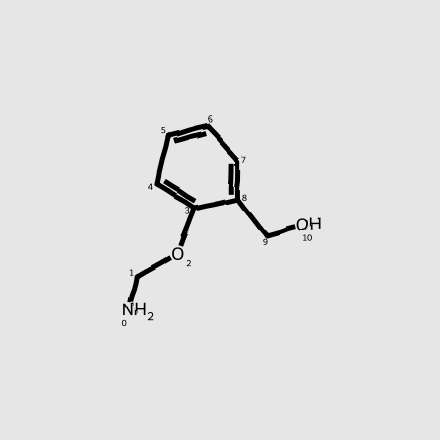 NCOc1ccccc1CO